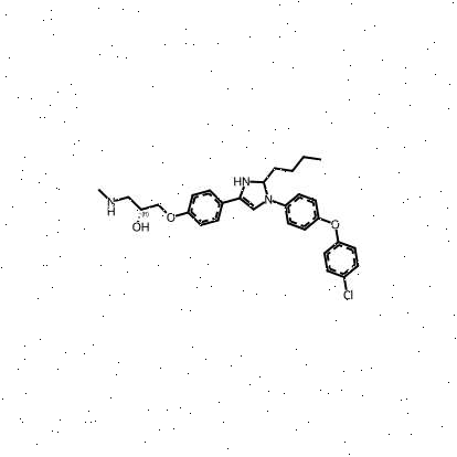 CCCCC1NC(c2ccc(OC[C@H](O)CNC)cc2)=CN1c1ccc(Oc2ccc(Cl)cc2)cc1